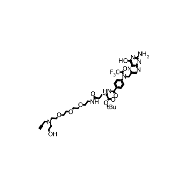 C#CCN(CCO)CCOCCOCCOCCNC(=O)CC[C@H](NC(=O)c1ccc(N(Cc2cnc3nc(N)nc(O)c3n2)C(=O)C(F)(F)F)cc1)C(=O)OC(C)(C)C